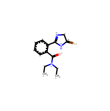 CCN(CC)C(=O)c1ccccc1C1=NCC(=S)N1